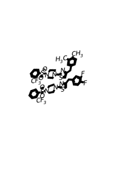 Cc1ccc(Cc2csc(N3CCN(S(=O)(=O)c4ccccc4C(F)(F)F)CC3)n2)cc1C.O=S(=O)(c1ccccc1C(F)(F)F)N1CCN(c2nc(Cc3ccc(F)c(F)c3)cs2)CC1